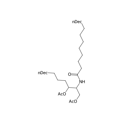 CCCCCCCCCCCCCCCCCC(=O)NC(COC(C)=O)C(CCCCCCCCCCCCC)OC(C)=O